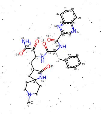 CC(=O)N1CCC2(CC1)CC(CC(NC(=O)[C@@H](Cc1ccccc1)NC(=O)c1cnc3ccccc3n1)C(=O)C(N)=O)C(=O)N2